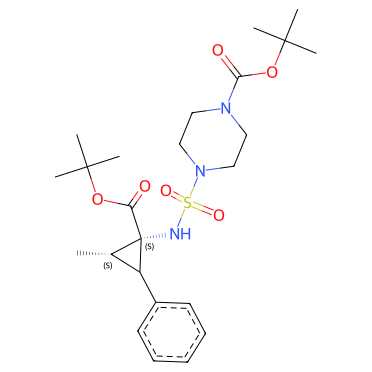 C[C@H]1C(c2ccccc2)[C@]1(NS(=O)(=O)N1CCN(C(=O)OC(C)(C)C)CC1)C(=O)OC(C)(C)C